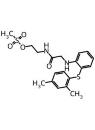 Cc1ccc(Sc2ccccc2NCC(=O)NCCOS(C)(=O)=O)c(C)c1